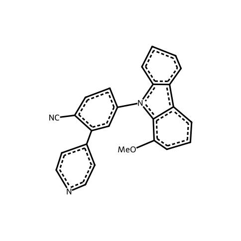 COc1cccc2c3ccccc3n(-c3ccc(C#N)c(-c4ccncc4)c3)c12